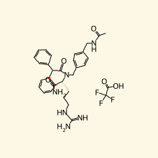 CC(=O)NCc1ccc(CN(C(=O)C(c2ccccc2)c2ccccc2)[C@H](CCCNC(=N)N)C(N)=O)cc1.O=C(O)C(F)(F)F